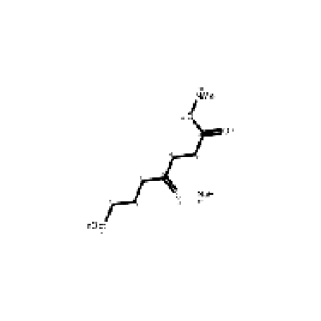 CCCCCCCCCCCC(=O)CCC(=O)ONC.[NaH]